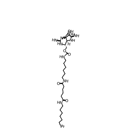 CC(C)CCCCCCNC(=O)CCCCC(=O)NCCCCCCNC(=O)OC[C@@H]1NC(=N)N2CCC(O)(O)[C@@]23NC(=N)N[C@@H]13